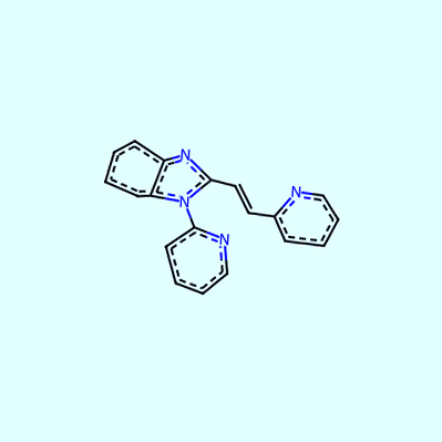 C(=Cc1nc2ccccc2n1-c1ccccn1)c1ccccn1